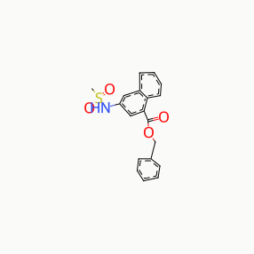 CS(=O)(=O)Nc1cc(C(=O)OCc2ccccc2)c2ccccc2c1